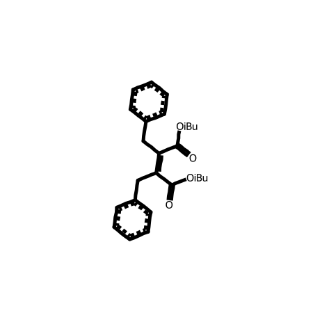 CC(C)COC(=O)/C(Cc1ccccc1)=C(/Cc1ccccc1)C(=O)OCC(C)C